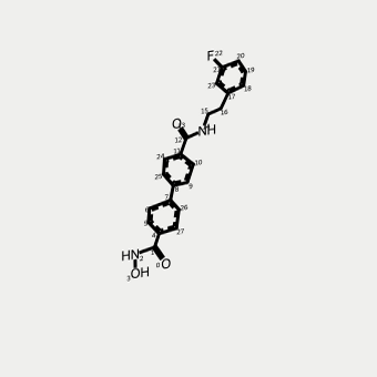 O=C(NO)c1ccc(-c2ccc(C(=O)NCCc3cccc(F)c3)cc2)cc1